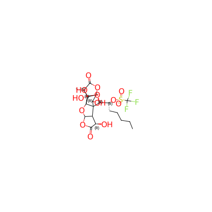 CCCCC[C@@H](OS(=O)(=O)C(F)(F)F)[C@@H]1OC(O)C23OC4OC(=O)[C@H](O)C4C12[C@@H](O)C1OC(=O)[C@@H](C)[C@@]13O